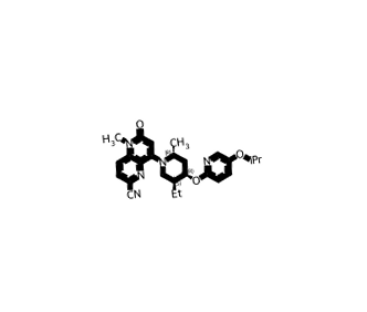 CC[C@H]1CN(c2cc(=O)n(C)c3ccc(C#N)nc23)[C@H](C)C[C@H]1Oc1ccc(OC(C)C)cn1